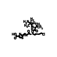 CC(C)[C@H](NC(=O)C(C)(C)N)C(=O)O[C@H](/C=C/CCCl)CC(=O)NCc1nc(C(=O)O)cs1